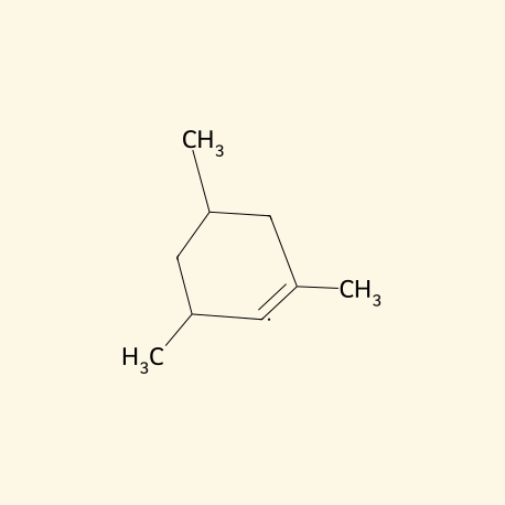 CC1=[C]C(C)CC(C)C1